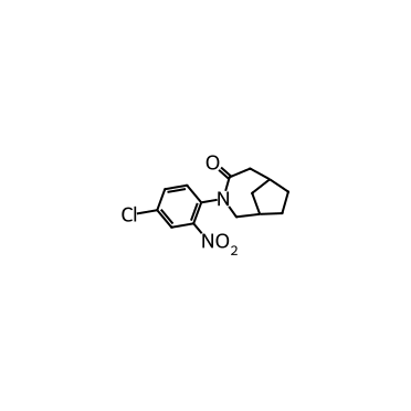 O=C1CC2CCC(C2)CN1c1ccc(Cl)cc1[N+](=O)[O-]